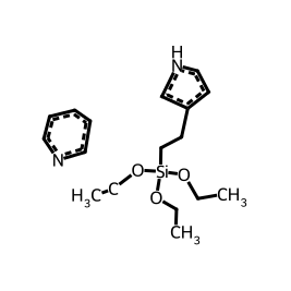 CCO[Si](CCc1cc[nH]c1)(OCC)OCC.c1ccncc1